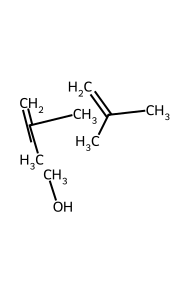 C=C(C)C.C=C(C)C.CO